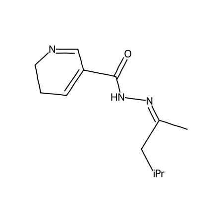 CC(CC(C)C)=NNC(=O)C1=CCCN=C1